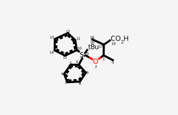 CC(O[Si](c1ccccc1)(c1ccccc1)C(C)(C)C)C(C)C(=O)O